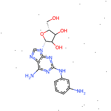 Nc1cccc(Nc2nc(N)c3ncn([C@@H]4O[C@H](CO)C(O)C4O)c3n2)c1